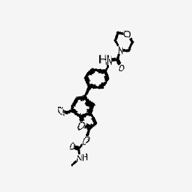 CNC(=O)Oc1cc2cc(-c3ccc(NC(=O)N4CCOCC4)cc3)cc(Cl)c2o1